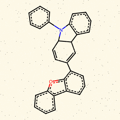 C1=CC2C(C=C1c1cccc3c1oc1ccccc13)c1ccccc1N2c1ccccc1